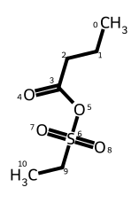 CCCC(=O)OS(=O)(=O)CC